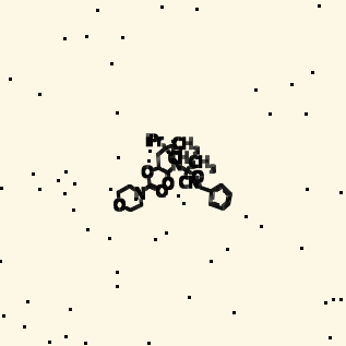 CC(C)C(C)(C)CC(OC(=O)N1CCOCC1)C(=O)NC(C)(C#N)OCc1ccccc1